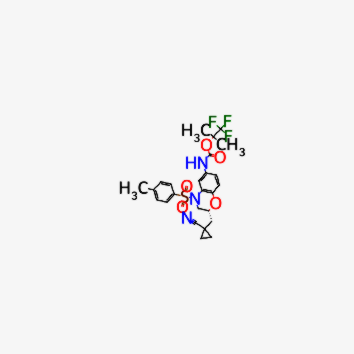 Cc1ccc(S(=O)(=O)N2C[C@@H](CC3(C#N)CC3)Oc3ccc(NC(=O)OC(C)(C)C(F)(F)F)cc32)cc1